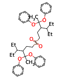 CCC(CC)C(CCS(=O)(=O)CCC(C(CC)CC)C(C)(Oc1ccccc1)Oc1ccccc1)C(C)(Oc1ccccc1)Oc1ccccc1